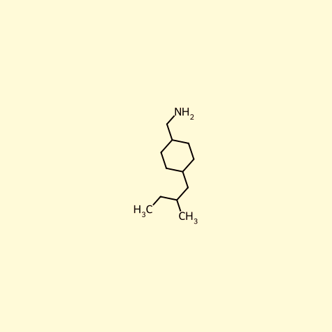 CCC(C)CC1CCC(CN)CC1